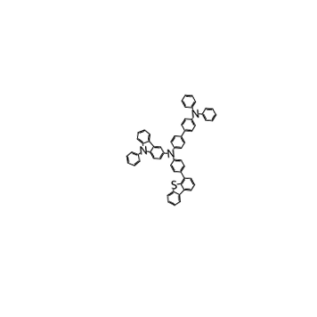 c1ccc(N(c2ccccc2)c2ccc(-c3ccc(N(c4ccc(-c5cccc6c5sc5ccccc56)cc4)c4ccc5c(c4)c4ccccc4n5-c4ccccc4)cc3)cc2)cc1